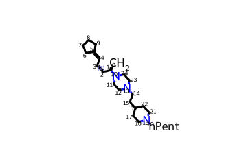 C=C(/C=C\C=C1CCCC1)N1CCN(CCC2CCN(CCCCC)CC2)CC1